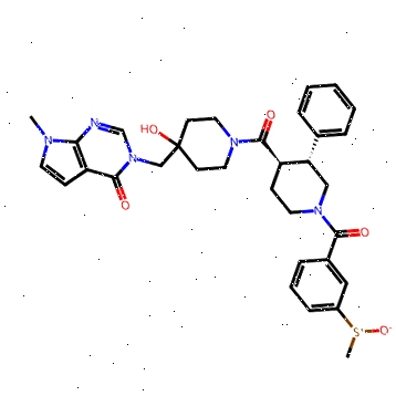 Cn1ccc2c(=O)n(CC3(O)CCN(C(=O)[C@@H]4CCN(C(=O)c5cccc([S+](C)[O-])c5)C[C@H]4c4ccccc4)CC3)cnc21